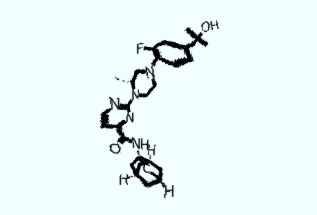 C[C@@H]1CN(c2ccc(C(C)(C)O)cc2F)CCN1c1nccc(C(=O)N[C@]23C[C@@H]4C[C@@H](C[C@H]2C4)C3)n1